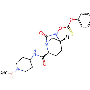 O=CBN1CCC(NC(=O)[C@@H]2CC[C@@H]3CN2C(=O)N3OC(=S)Oc2ccccc2)CC1